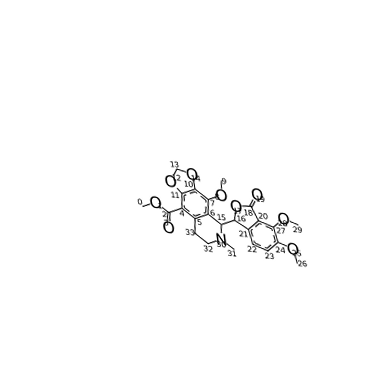 COC(=O)c1c2c(c(OC)c3c1OCO3)C(C1OC(=O)c3c1ccc(OC)c3OC)N(C)CC2